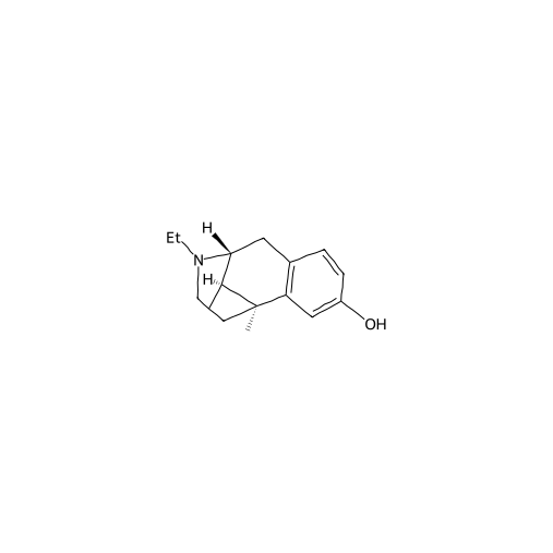 CCN1CC[C@]2(C)c3cc(O)ccc3C[C@@H]1[C@@H]2C